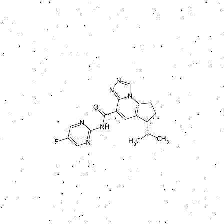 CC(C)[C@H]1CCc2c1cc(C(=O)Nc1ncc(F)cn1)c1nncn21